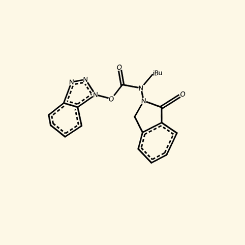 CCC(C)N(C(=O)On1nnc2ccccc21)N1Cc2ccccc2C1=O